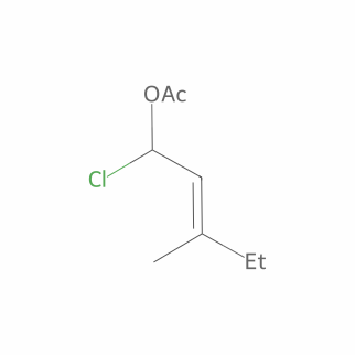 CC/C(C)=C/C(Cl)OC(C)=O